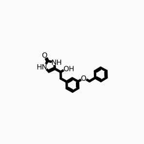 O=c1[nH]cc(C(O)Cc2cccc(OCc3ccccc3)c2)[nH]1